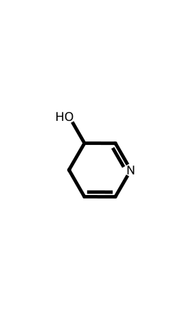 OC1C=NC=CC1